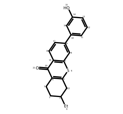 CCC1CCc2c(sc3cc(-c4cccc(O)c4)ccc3c2=O)C1